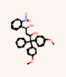 COc1ccc(C(c2ccccc2)(c2ccc(OC)cc2)C(O)CC(O)c2ccccc2[N+](=O)[O-])cc1